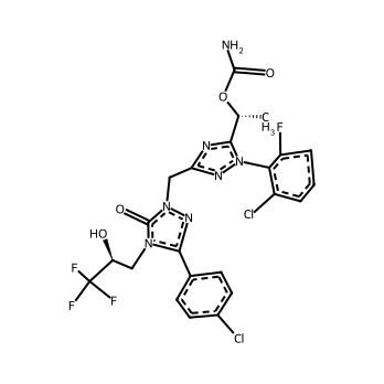 C[C@@H](OC(N)=O)c1nc(Cn2nc(-c3ccc(Cl)cc3)n(C[C@H](O)C(F)(F)F)c2=O)nn1-c1c(F)cccc1Cl